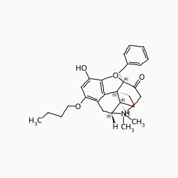 CCCCOc1cc(O)c2c3c1C[C@@H]1[C@@H]4CCC(=O)[C@](Cc5ccccc5)(O2)[C@]34CC[N+]1(C)C